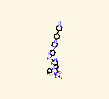 CN(C)C(=O)c1cc2cnc(Nc3ccc(N4CCN(C5CCC(C6CCNCC6)CC5)CC4)cn3)nc2n1C1CCCC1